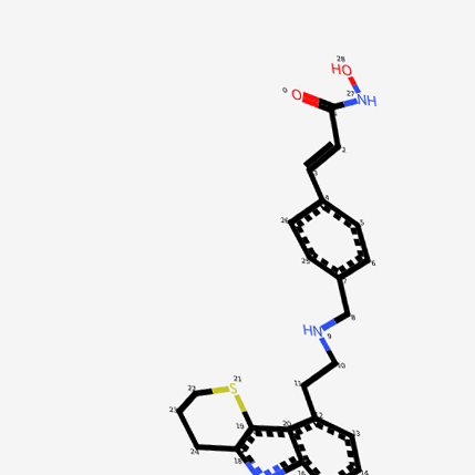 O=C(/C=C/c1ccc(CNCCc2cccc3[nH]c4c(c23)SCCC4)cc1)NO